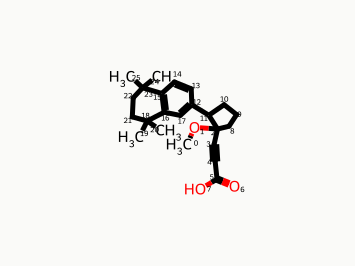 COC1(C#CC(=O)O)CCCC1c1ccc2c(c1)C(C)(C)CCC2(C)C